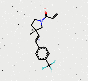 C=CC(=O)N1CC[C@@](C)(/C=C/c2ccc(C(F)(F)F)cc2)C1